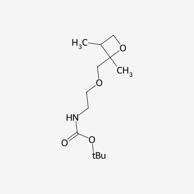 CC1COC1(C)COCCNC(=O)OC(C)(C)C